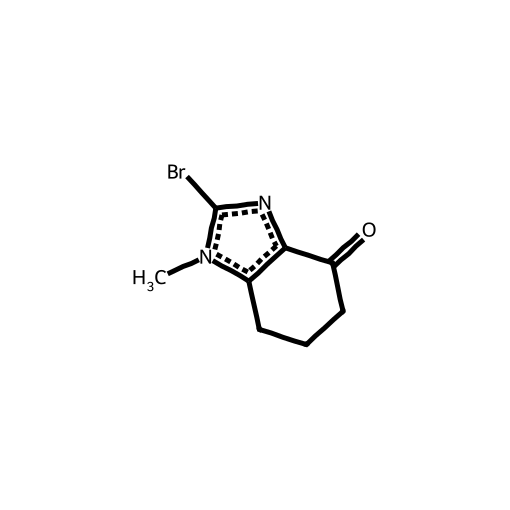 Cn1c(Br)nc2c1CCCC2=O